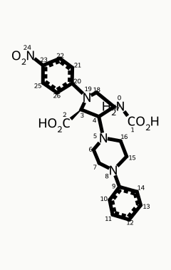 NC(=O)O.O=C(O)[C@@H]1C(N2CCN(c3ccccc3)CC2)CCN1c1ccc([N+](=O)[O-])cc1